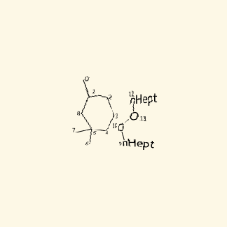 CC1CCCC(C)(C)C1.CCCCCCCOOCCCCCCC